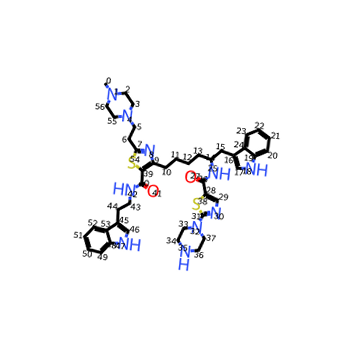 CN1CCN(CCc2nc(CCCCC(Cc3c[nH]c4ccccc34)NC(=O)c3cnc(N4CCNCC4)s3)c(C(=O)NCCc3c[nH]c4ccccc34)s2)CC1